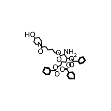 NC1C(OC(=O)c2ccccc2)[C@@H](OC(=O)c2ccccc2)C(COC(=O)c2ccccc2)O[C@H]1OCCCCC(=O)N1CCC(O)CC1